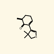 C=C1CCC=C(C2=CSCC2(C)C)C1=O